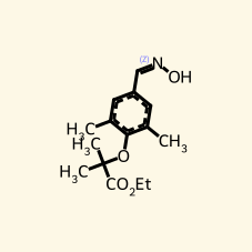 CCOC(=O)C(C)(C)Oc1c(C)cc(/C=N\O)cc1C